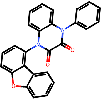 O=c1c(=O)n(-c2cccc3oc4ccccc4c23)c2ccccc2n1-c1ccccc1